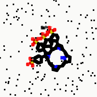 O=S(=O)([O-])c1ccc(C2=Cc3cc4ccc(cc5nc(cc6[nH]c(c(-c7ccc(S(=O)(=O)[O-])cc7)c2n3)c(-c2ccc(S(=O)(=O)[O-])cc2)c6-c2ccc(S(=O)(=O)[O-])cc2)C=C5)[nH]4)cc1.[Sn+4]